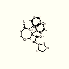 O=C1CCSCC(C(=O)NC2CCCC2)(c2ccccc2)N1c1ccccc1